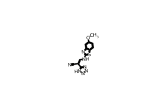 COc1ccc2sc(NC=C(C#N)c3nnn[nH]3)nc2c1